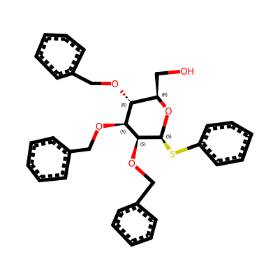 OC[C@H]1O[C@@H](Sc2ccccc2)[C@@H](OCc2ccccc2)[C@@H](OCc2ccccc2)[C@@H]1OCc1ccccc1